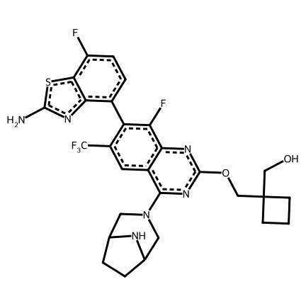 Nc1nc2c(-c3c(C(F)(F)F)cc4c(N5CC6CCC(C5)N6)nc(OCC5(CO)CCC5)nc4c3F)ccc(F)c2s1